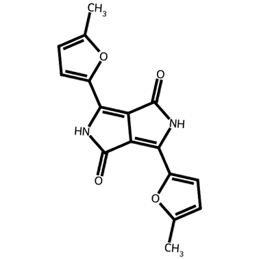 Cc1ccc(C2=C3C(=O)NC(c4ccc(C)o4)=C3C(=O)N2)o1